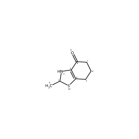 CC1NC2=C(CCCC2=O)S1